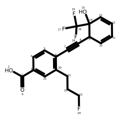 O=C(O)c1ccc(C#CC2C=CC=CC2(O)C(F)(F)F)c(CCCF)c1